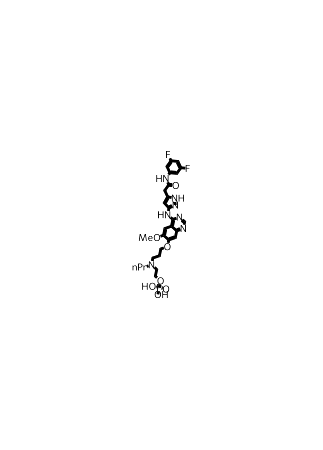 CCCN(CCCOc1cc2ncnc(Nc3cc(CC(=O)Nc4cc(F)cc(F)c4)[nH]n3)c2cc1OC)CCOP(=O)(O)O